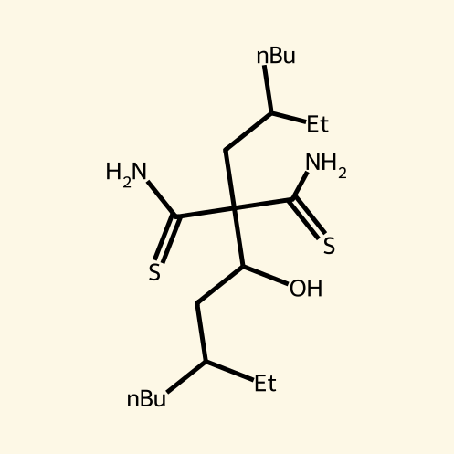 CCCCC(CC)CC(O)C(CC(CC)CCCC)(C(N)=S)C(N)=S